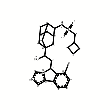 O=S(=O)(CC1CCC1)NC1C2CC3CC1CC(C(O)CC1c4c(F)cccc4-c4cncn41)(C3)C2